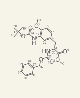 COC(=O)[C@H](Cc1ccc(OC)c(NC(=O)OC(C)(C)C)c1)NC(=O)OCc1ccccc1